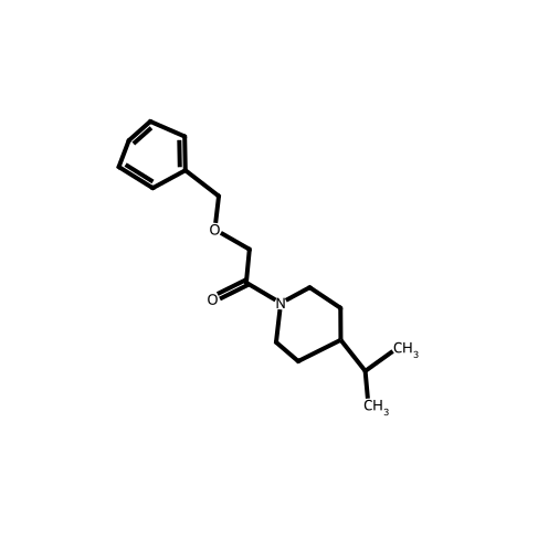 CC(C)C1CCN(C(=O)COCc2ccccc2)CC1